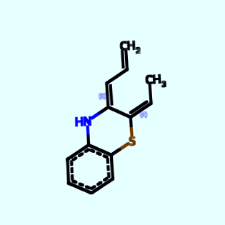 C=C/C=C1/Nc2ccccc2S/C1=C/C